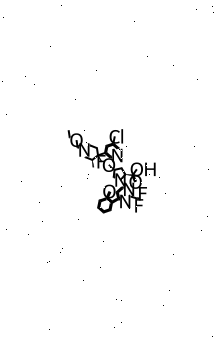 CCOCN1CC[C@](F)(c2cc(Cl)cnc2O[C@H]2C[C@@H](C(=O)O)N(c3nc(C(F)F)nc4c3oc3ccccc34)C2)[C@@H](C)C1